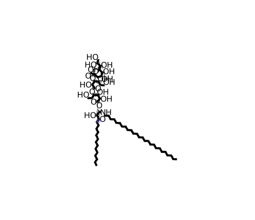 CCCCCCCCCCCCC/C=C/[C@@H](O)[C@H](CO[C@@H]1OC(CO)[C@@H](O[C@@H]2OC(CO)[C@H](O)[C@H](O[C@]3(C(=O)O)CC(O)[C@@H](O)C([C@H](O)[C@H](O)CO)O3)C2O)[C@H](O)C1O)NC(=O)CCCCCCCCCCCCCCCCCCCCCCCCC